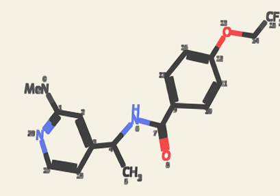 CNc1cc(C(C)NC(=O)c2ccc(OCC(F)(F)F)cc2)ccn1